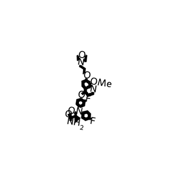 COc1c(OCCCN2CCOCC2)ccc2c(Oc3ccc(N(C(=O)C4(C(N)=O)CC4)c4ccc(F)cc4)cc3F)ccnc12